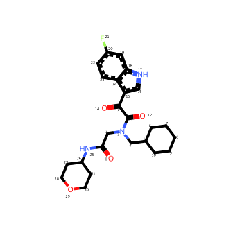 O=C(CN(CC1CCCCC1)C(=O)C(=O)c1c[nH]c2cc(F)ccc12)NC1CCOCC1